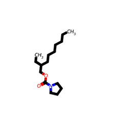 CCCCCCCC(CC)COC(=O)N1CCCC1